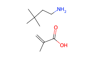 C=C(C)C(=O)O.CC(C)(C)CCN